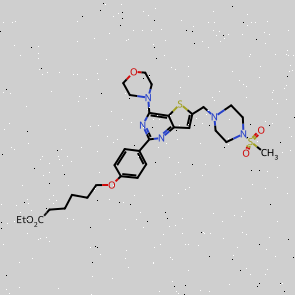 CCOC(=O)CCCCCOc1ccc(-c2nc(N3CCOCC3)c3sc(CN4CCN(S(C)(=O)=O)CC4)cc3n2)cc1